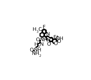 CC[C@@]1(O)C(=O)OCc2c1cc1n(c2=O)Cc2c-1nc1cc(F)c(C)c3c1c2[C@@H](NC(=O)C(N)CCCNC(N)=O)CC3